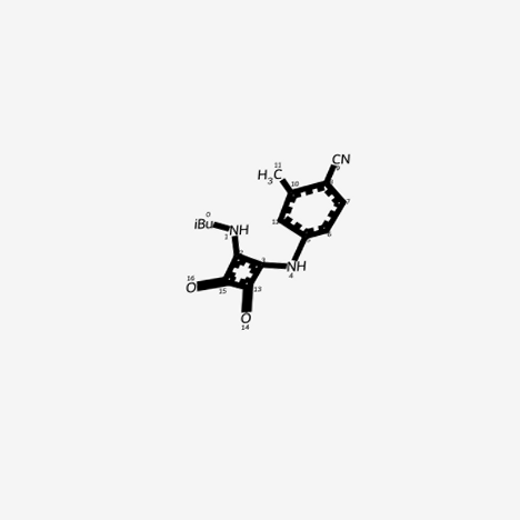 CCC(C)Nc1c(Nc2ccc(C#N)c(C)c2)c(=O)c1=O